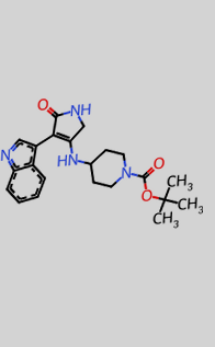 CC(C)(C)OC(=O)N1CCC(NC2=C(c3c[nH]c4ccccc34)C(=O)NC2)CC1